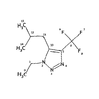 CCn1nnc(C(F)(F)F)c1CC(C)C